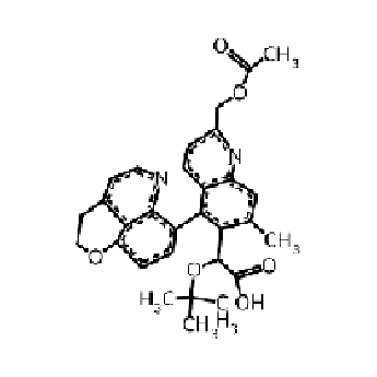 CC(=O)OCc1ccc2c(-c3ccc4c5c(ccnc35)CCO4)c(C(OC(C)(C)C)C(=O)O)c(C)cc2n1